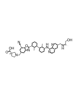 Cc1c(Nc2nccc3cc(CN[C@@H](C)CO)cnc23)cccc1-c1cccc(-c2nc3cc(CN4CC[C@@H](C(=O)O)C4)cc(C#N)c3o2)c1C